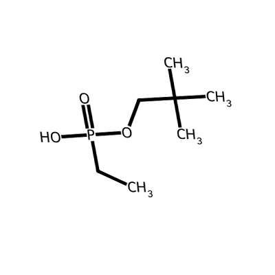 CCP(=O)(O)OCC(C)(C)C